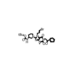 Cn1c(=O)n(CC(=O)c2ccccc2)c(=O)c2c1nc(N1CCCC(NC(=O)OC(C)(C)C)C1)n2CC=CBr